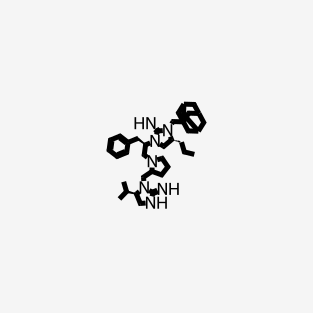 CCC[C@@H]1CN([C@H](Cc2ccccc2)CN2CCCC2CN2C(=N)NC[C@H]2C(C)C)C(=N)N1CC12CC3CC(CC(C3)C1)C2